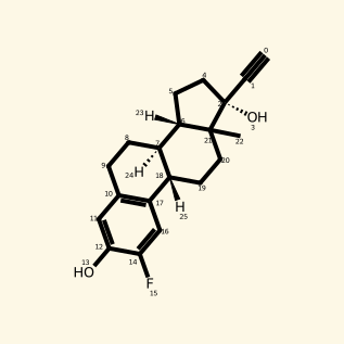 C#C[C@]1(O)CC[C@H]2[C@@H]3CCc4cc(O)c(F)cc4[C@H]3CCC21C